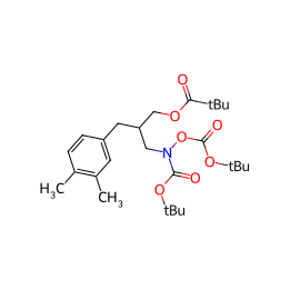 Cc1ccc(CC(COC(=O)C(C)(C)C)CN(OC(=O)OC(C)(C)C)C(=O)OC(C)(C)C)cc1C